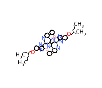 CCCCC(CC)COc1ccc2nc(/C(C#N)=c3/c4c(-c5ccccc5)n(B(c5ccccc5)c5ccccc5)/c(=C(/C#N)c5cnc6cc(OCC(CC)CCCC)ccc6n5)c4c(-c4ccccc4)n3B(c3ccccc3)c3ccccc3)cnc2c1